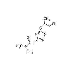 CC(CCl)Oc1nc(SC(=O)N(C)C)ns1